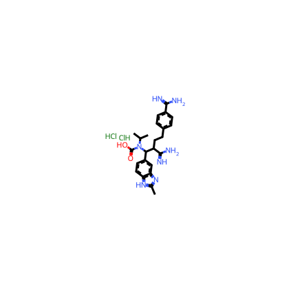 Cc1nc2cc(C(C(CCc3ccc(C(=N)N)cc3)C(=N)N)N(C(=O)O)C(C)C)ccc2[nH]1.Cl.Cl